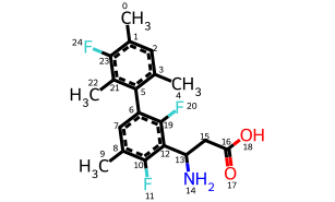 Cc1cc(C)c(-c2cc(C)c(F)c(C(N)CC(=O)O)c2F)c(C)c1F